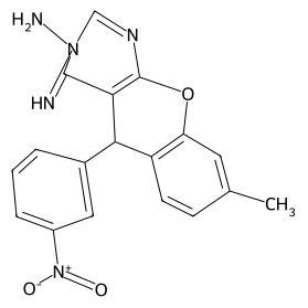 Cc1ccc2c(c1)Oc1ncn(N)c(=N)c1C2c1cccc([N+](=O)[O-])c1